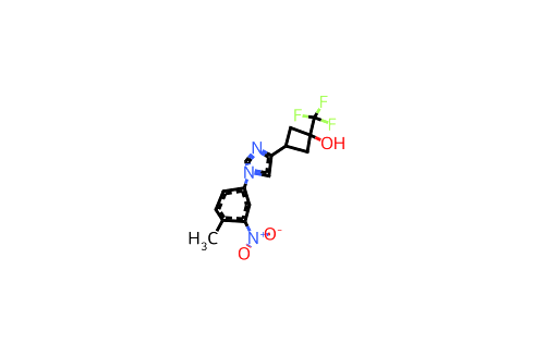 Cc1ccc(-n2cnc(C3CC(O)(C(F)(F)F)C3)c2)cc1[N+](=O)[O-]